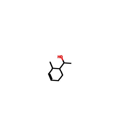 CC(O)C1CCC=CC1C